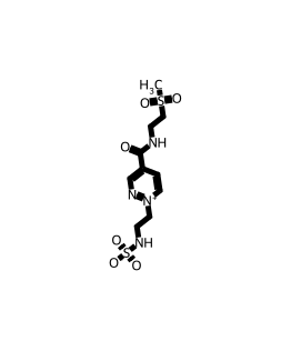 CS(=O)(=O)CCNC(=O)c1cc[n+](CCNS(=O)(=O)[O-])nc1